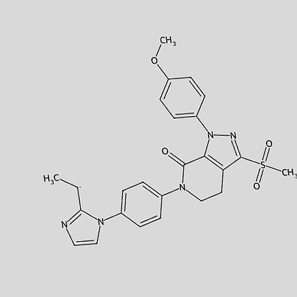 C[CH]c1nccn1-c1ccc(N2CCc3c(S(C)(=O)=O)nn(-c4ccc(OC)cc4)c3C2=O)cc1